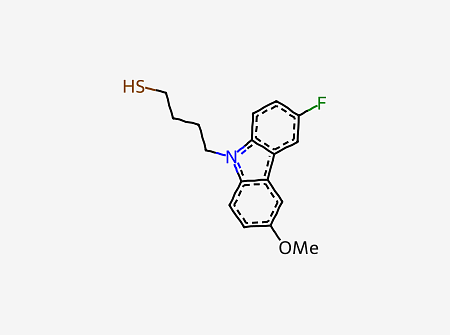 COc1ccc2c(c1)c1cc(F)ccc1n2CCCCS